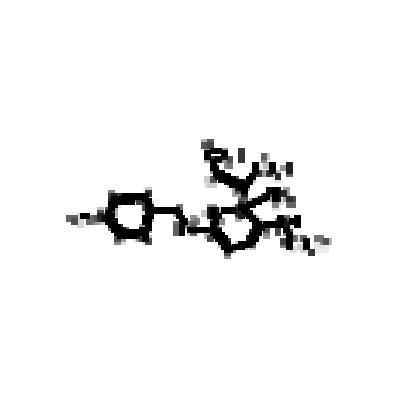 CCOC(=O)NC1=CC=C(NCc2ccc(F)cc2)NC1(N)C(=CC(=O)O)C(=O)O